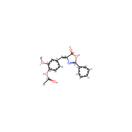 COc1cc(/C=C2\N=C(c3ccccc3)OC2=O)ccc1OC(C)=O